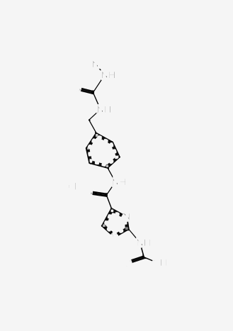 CC(=O)Nc1nc(C(=O)Nc2ccc(CNC(=O)NN)cc2)cs1.Cl